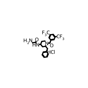 Cl.NCC(=O)NC1CCN(C(=O)c2cc(C(F)(F)F)cc(C(F)(F)F)c2)C(Cc2ccccc2)C1